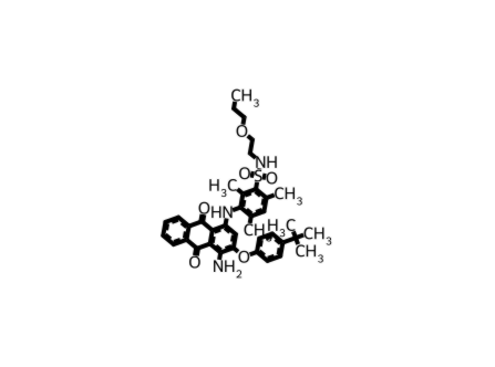 CCCOCCNS(=O)(=O)c1c(C)cc(C)c(Nc2cc(Oc3ccc(C(C)(C)C)cc3)c(N)c3c2C(=O)c2ccccc2C3=O)c1C